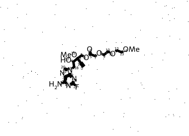 C#CC(COC(=O)COCCOCCOC)(OC)[C@@H](O)Cn1cnc2c(N)nc(F)nc21